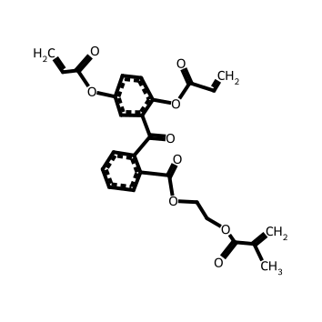 C=CC(=O)Oc1ccc(OC(=O)C=C)c(C(=O)c2ccccc2C(=O)OCCOC(=O)C(=C)C)c1